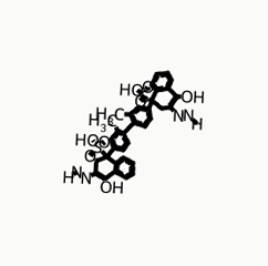 [H]/N=N/C1=C(O)c2ccccc2C(c2ccc(-c3ccc(C4(S(=O)(=O)O)CC(/N=N/[H])=C(O)c5ccccc54)cc3C)c(C)c2)(S(=O)(=O)O)C1